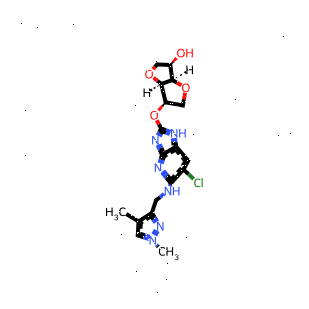 Cc1cn(C)nc1CNc1nc2nc(O[C@@H]3CO[C@H]4[C@@H]3OC[C@H]4O)[nH]c2cc1Cl